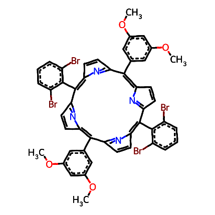 COc1cc(OC)cc(C2=C3C=CC(=N3)C(c3c(Br)cccc3Br)=C3C=CC(=N3)C(c3cc(OC)cc(OC)c3)=C3C=CC(=N3)C(c3c(Br)cccc3Br)=C3C=CC2=N3)c1